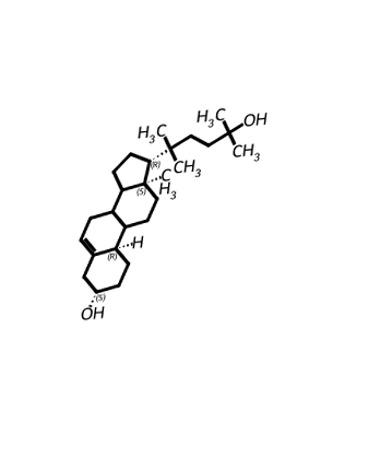 CC(C)(O)CCC(C)(C)[C@H]1CCC2C3CC=C4C[C@@H](O)CC[C@@H]4C3CC[C@@]21C